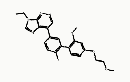 CCn1cnc2c(-c3ccc(F)c(-c4ccc(OCCOC)cc4OC)c3)cnnc21